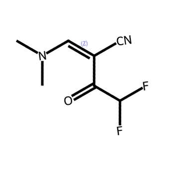 CN(C)/C=C(/C#N)C(=O)C(F)F